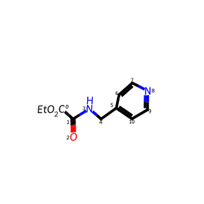 CCOC(=O)C(=O)NCc1ccncc1